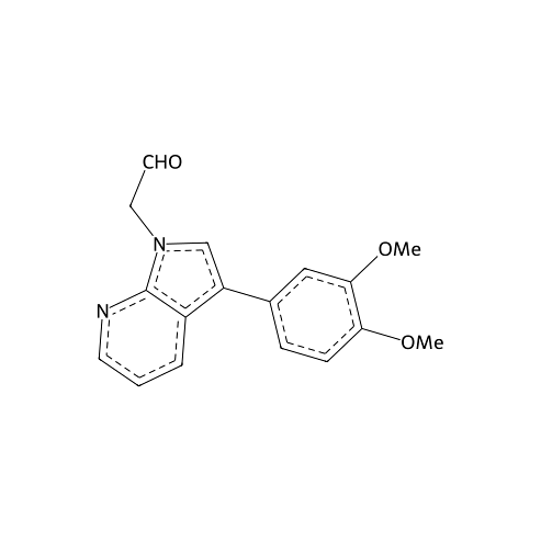 COc1ccc(-c2cn(CC=O)c3ncccc23)cc1OC